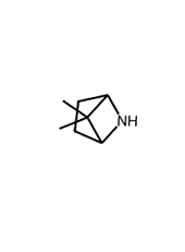 CC1(C)C2CCC1N2